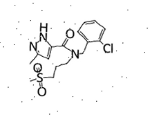 Cc1cc(C(=O)N(CCCS(C)(=O)=O)Cc2ccccc2Cl)[nH]n1